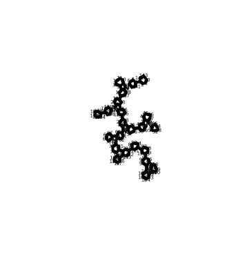 c1ccc(-c2ccc(-n3c4ccccc4c4cc(-c5ccc6c(c5)c5ccc(-c7ccc8c(c7)c7cc(-c9ccc%10c(c9)c9ccccc9n%10-c9ccccc9)ccc7n8-c7ccc8c(c7)c7ccccc7n8-c7cccc(-c8cc(-c9cccc(-c%10cccc(-c%11ccc%12c(c%11)c%11cccc%13c%14ccccc%14n%12c%13%11)c%10)c9)ccc8-c8ccccc8)c7)cc5n6-c5ccc(-c6ccccc6)cc5)ccc43)cc2)cc1